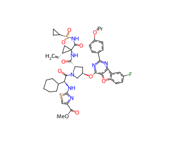 C=C[C@@H]1C[C@]1(NC(=O)[C@@H]1C[C@@H](Oc2nc(-c3ccc(OC(C)C)cc3)nc3c2oc2ccc(F)cc23)CN1C(=O)[C@@H](Nc1nc(C(=O)OC)cs1)C1CCCCC1)C(=O)NS(=O)(=O)C1CC1